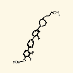 C=CCCC1CCC(c2ccc(-c3ccc(-c4ccc(OCCCC)c(F)c4F)cc3)c(F)c2)CC1